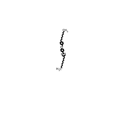 CCCCCCCCCCc1cnc(-c2ccc(OCc3ccc(CCCCCCCCC)cc3)cc2)nc1